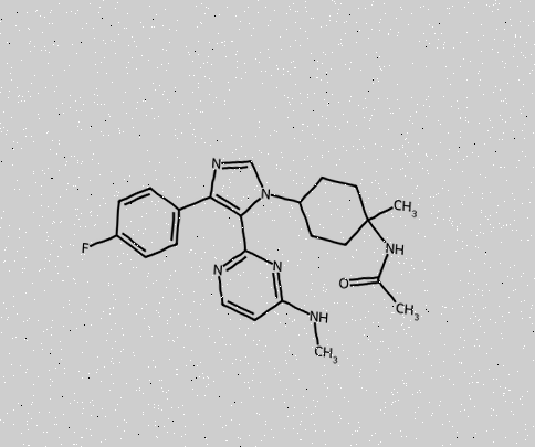 CNc1ccnc(-c2c(-c3ccc(F)cc3)ncn2C2CCC(C)(NC(C)=O)CC2)n1